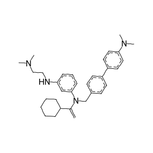 C=C(C1CCCCC1)N(Cc1ccc(-c2ccc(N(C)C)cc2)cc1)c1cccc(NCCN(C)C)c1